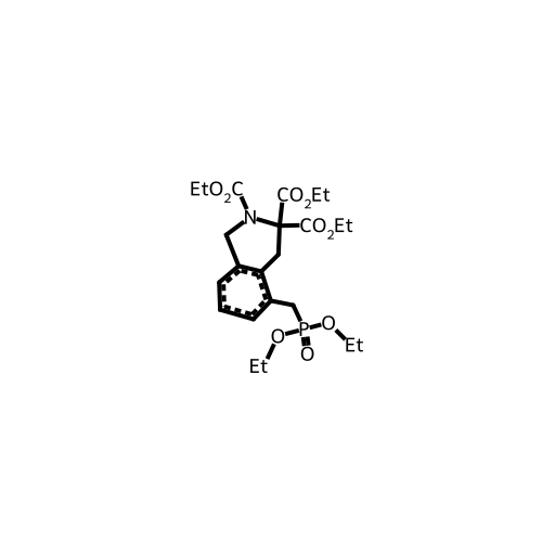 CCOC(=O)N1Cc2cccc(CP(=O)(OCC)OCC)c2CC1(C(=O)OCC)C(=O)OCC